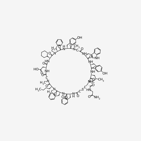 CCCC[C@H]1C(=O)N(C)CC(=O)N[C@@H](CC(=O)O)C(=O)N[C@@H](C2CCCCC2)C(=O)N(C)[C@@H](Cc2ccccc2)C(=O)N[C@@H](Cc2ccc(O)cc2)C(=O)N(C)CC(=O)N[C@@H](Cc2c[nH]c3ccccc23)C(=O)N[C@@H](Cc2ccc(O)cc2)C(=O)N[C@@H](CC(C)C)C(=O)N[C@H](C(=O)NCC(N)=O)CSCC(=O)N[C@@H](Cc2ccccc2)C(=O)N(C)[C@@H](Cc2ccccc2)C(=O)N1C